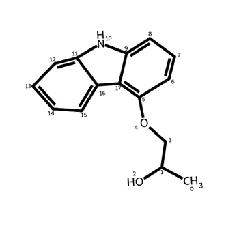 CC(O)COc1cccc2[nH]c3ccccc3c12